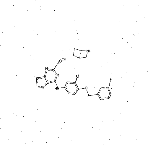 C#Cc1nc(Nc2ccc(OCc3cccc(F)c3)c(Cl)c2)c2sccc2n1.C1CC2NCC12